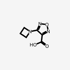 O=C(O)c1nonc1N1CCC1